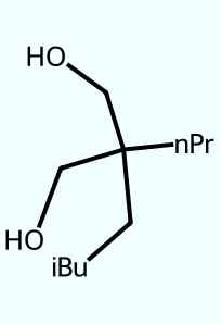 CCCC(CO)(CO)CC(C)CC